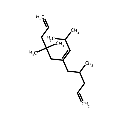 C=CCC(C)CC(=CC(C)C)CC(C)(C)CC=C